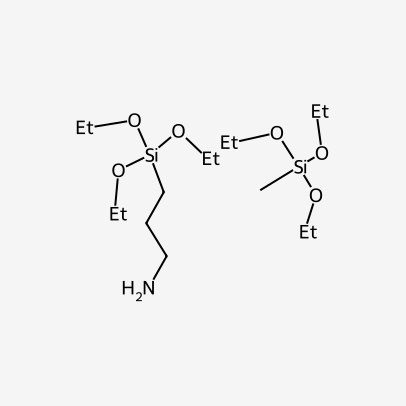 CCO[Si](C)(OCC)OCC.CCO[Si](CCCN)(OCC)OCC